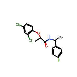 CC(Oc1ccc(Cl)cc1Cl)C(=O)NC(c1ccc(F)cc1)C(C)C